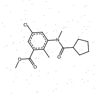 COC(=O)c1cc(Cl)cc(N(C)C(=O)C2CCCC2)c1C